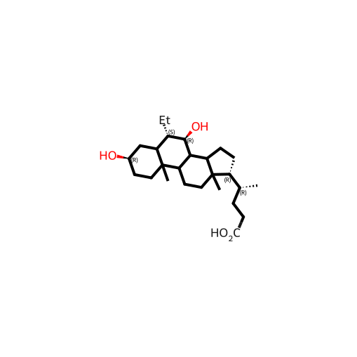 CC[C@H]1C2C[C@H](O)CCC2(C)C2CCC3(C)C(CC[C@@H]3[C@H](C)CCC(=O)O)C2[C@@H]1O